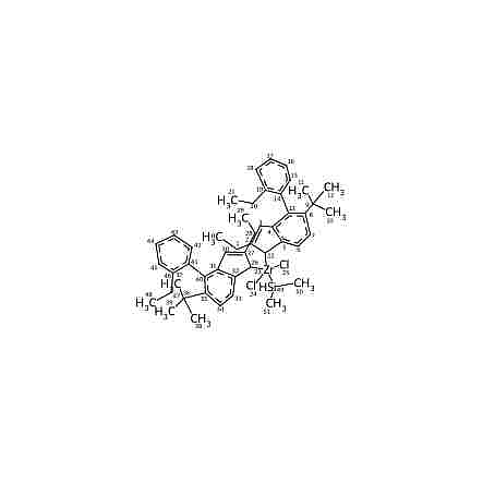 CCC1=Cc2c(ccc(C(C)(C)C)c2-c2ccccc2CC)[CH]1[Zr]([Cl])([Cl])([CH]1C(CC)=Cc2c1ccc(C(C)(C)C)c2-c1ccccc1CC)[SiH](C)C